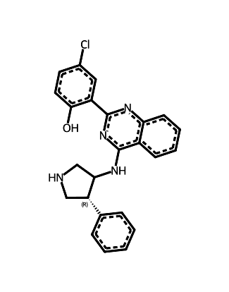 Oc1ccc(Cl)cc1-c1nc(NC2CNC[C@H]2c2ccccc2)c2ccccc2n1